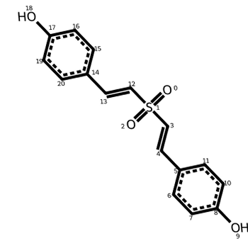 O=S(=O)(C=Cc1ccc(O)cc1)C=Cc1ccc(O)cc1